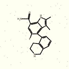 Cc1[nH]c2c(C(N)=O)cc(F)c(-c3cccc4c3CCNC4)c2c1C